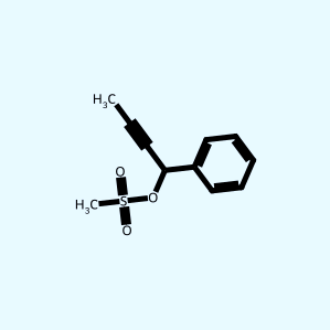 CC#CC(OS(C)(=O)=O)c1ccccc1